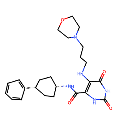 O=C(N[C@H]1CC[C@@H](c2ccccc2)CC1)c1[nH]c(=O)[nH]c(=O)c1NCCCN1CCOCC1